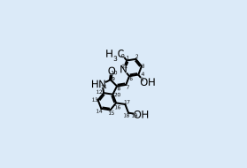 Cc1ccc(O)c(C=C2C(=O)Nc3cccc(CCO)c32)n1